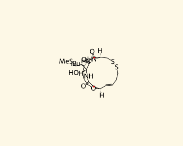 CC[C@H](C)[C@@H]1NC(=O)[C@H]2CSSCC/C=C/[C@H](CC(=O)N[C@H](CCSC)C(=O)N2)OCC[C@@H]1O